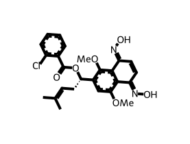 COc1cc([C@H](CC=C(C)C)OC(=O)c2ccccc2Cl)c(OC)c2c1C(=NO)C=CC2=NO